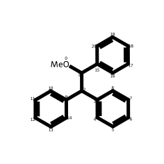 COC([C](c1ccccc1)c1ccccc1)c1ccccc1